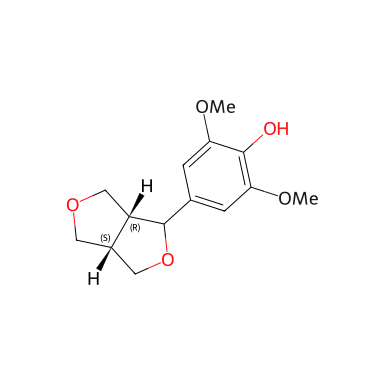 COc1cc(C2OC[C@@H]3COC[C@H]23)cc(OC)c1O